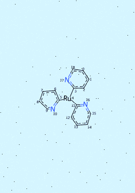 c1cc[c]([Ru]([c]2ccccn2)[c]2ccccn2)nc1